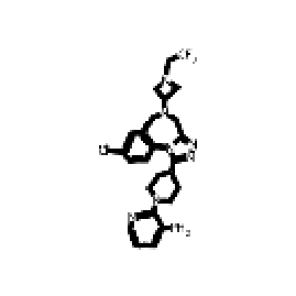 FC(F)(F)CN1CC(N2Cc3cc(Cl)ccc3-n3c(nnc3C3CCN(c4ncccc4P)CC3)C2)C1